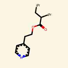 CC(C)CC(C(=O)OCCc1ccncc1)C(C)C